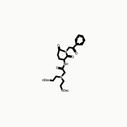 CCCCCCCCCCCCN(CCCCCCCCCCCC)CC(=O)NC1CCC(=O)N(CC(=O)c2ccccc2)C1=O